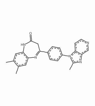 Cc1cc2c(cc1C)NC(=O)CC(c1ccc(-n3c(C)nc4cnccc43)cc1)=N2